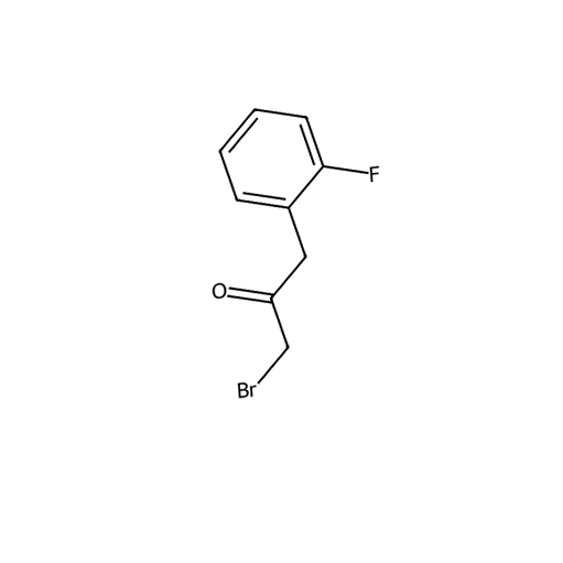 O=C(CBr)Cc1ccccc1F